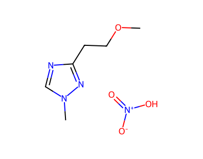 COCCc1ncn(C)n1.O=[N+]([O-])O